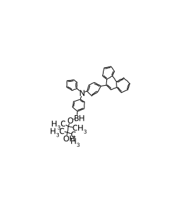 CC(C)(O)C(C)(C)OBc1ccc(N(c2ccccc2)c2ccc(-c3cc4ccccc4c4ccccc34)cc2)cc1